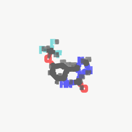 O=c1[nH]c2ccc(OC(F)(F)F)cc2c2ncnn12